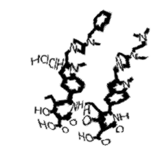 CCc1c(-c2ccc3c(c2)cc(CN2CC(N(C)CCN(C)C)C2)n3C)[nH]c(=O)c(C(=O)O)c1O.CCc1c(-c2ccc3c(c2)cc(CN2CC(N(C)Cc4ccccc4)C2)n3C)[nH]c(=O)c(C(=O)O)c1O.Cl.Cl